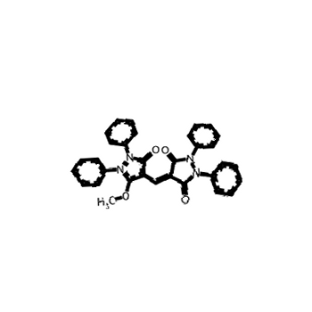 COc1c(C=C2C(=O)N(c3ccccc3)N(c3ccccc3)C2=O)c(=O)n(-c2ccccc2)n1-c1ccccc1